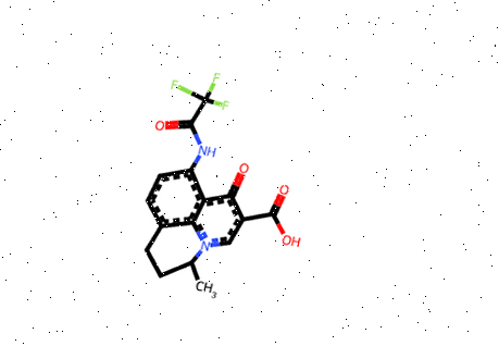 CC1CCc2ccc(NC(=O)C(F)(F)F)c3c(=O)c(C(=O)O)cn1c23